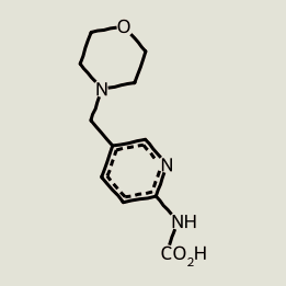 O=C(O)Nc1ccc(CN2CCOCC2)cn1